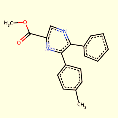 COC(=O)c1cnc(-c2ccccc2)c(-c2ccc(C)cc2)n1